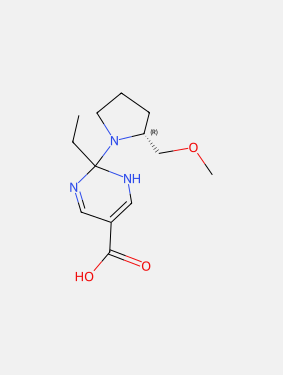 CCC1(N2CCC[C@@H]2COC)N=CC(C(=O)O)=CN1